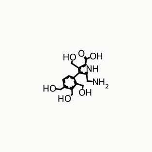 NCc1[nH]c(C(=O)O)c(CO)c1-c1ccc(CO)c(CO)c1CO